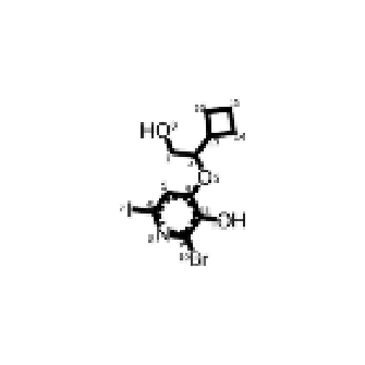 OCC(Oc1cc(I)nc(Br)c1O)C1CCC1